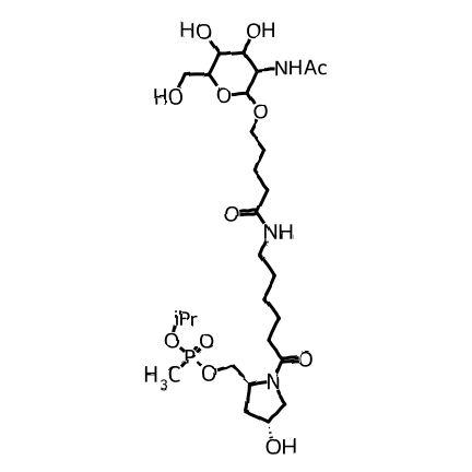 CC(=O)NC1C(OCCCCC(=O)NCCCCCC(=O)N2C[C@H](O)C[C@H]2COP(C)(=O)OC(C)C)OC(CO)C(O)C1O